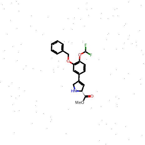 COC(=O)[C@H]1C=C(c2ccc(OC(F)F)c(OCc3ccccc3)c2)CN1